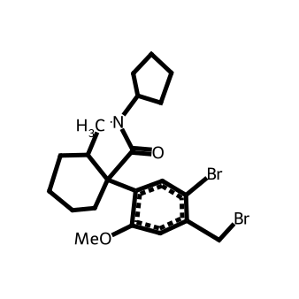 COc1cc(CBr)c(Br)cc1C1(C(=O)[N]C2CCCC2)CCCCC1C